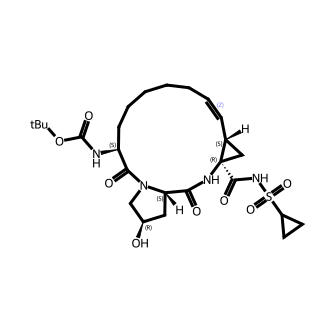 CC(C)(C)OC(=O)N[C@H]1CCCCC/C=C\[C@@H]2C[C@@]2(C(=O)NS(=O)(=O)C2CC2)NC(=O)[C@@H]2C[C@@H](O)CN2C1=O